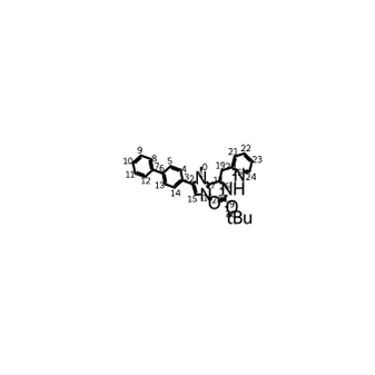 Cn1c(-c2ccc(-c3ccccc3)cc2)cnc1C(Cc1ccccn1)NC(=O)OC(C)(C)C